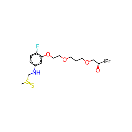 CC(C)C(=O)COCCCOCCOc1cc(NCS(C)=S)ccc1F